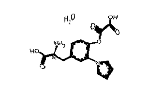 N[C@@H](Cc1ccc(OC(=O)C(=O)O)c(-n2cccc2)c1)C(=O)O.O